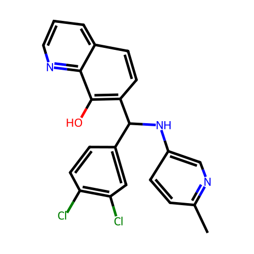 Cc1ccc(NC(c2ccc(Cl)c(Cl)c2)c2ccc3cccnc3c2O)cn1